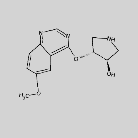 COc1ccc2ncnc(O[C@@H]3CNC[C@H]3O)c2c1